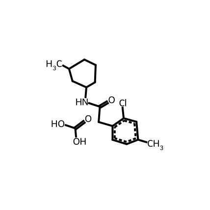 Cc1ccc(CC(=O)NC2CCCC(C)C2)c(Cl)c1.O=C(O)O